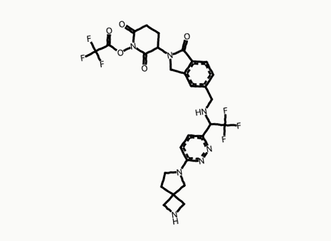 O=C1CCC(N2Cc3cc(CNC(c4ccc(N5CCC6(CNC6)C5)nn4)C(F)(F)F)ccc3C2=O)C(=O)N1OC(=O)C(F)(F)F